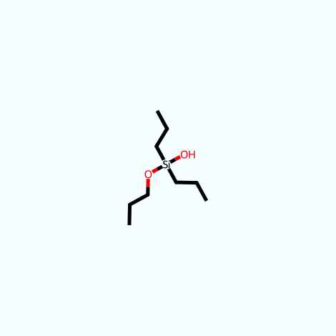 CCCO[Si](O)(CCC)CCC